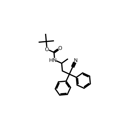 CC(CC(C#N)(c1ccccc1)c1ccccc1)NC(=O)OC(C)(C)C